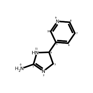 NC1=NCC(c2cccnc2)N1